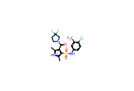 Cc1[nH]c(C)c(S(=O)(=O)Nc2ccc(Cl)c(C(F)(F)F)c2)c1C(=O)N1CCC(F)(F)C1